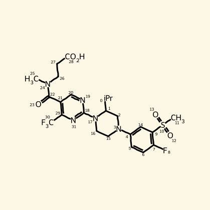 CC(C)C1CN(c2ccc(F)c(S(C)(=O)=O)c2)CCN1c1ncc(C(=O)N(C)CCC(=O)O)c(C(F)(F)F)n1